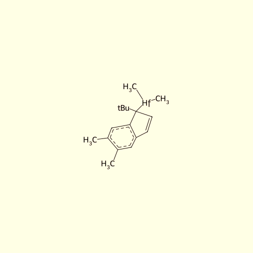 Cc1cc2c(cc1C)[C]([Hf]([CH3])[CH3])(C(C)(C)C)C=C2